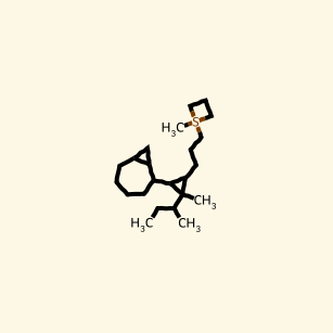 CCC(C)C1(C)C(CCCS2(C)CCC2)C1C1CCCCC2CC21